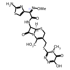 CO/N=C(\C(=O)NC1C(=O)N2C(C(=O)O)=C(CSc3nnc(O)c(=O)n3C)CS[C@H]12)c1csc(N)n1